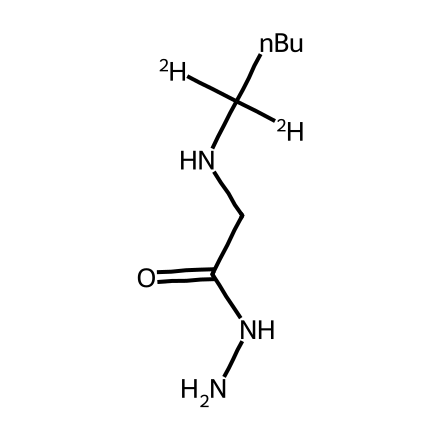 [2H]C([2H])(CCCC)NCC(=O)NN